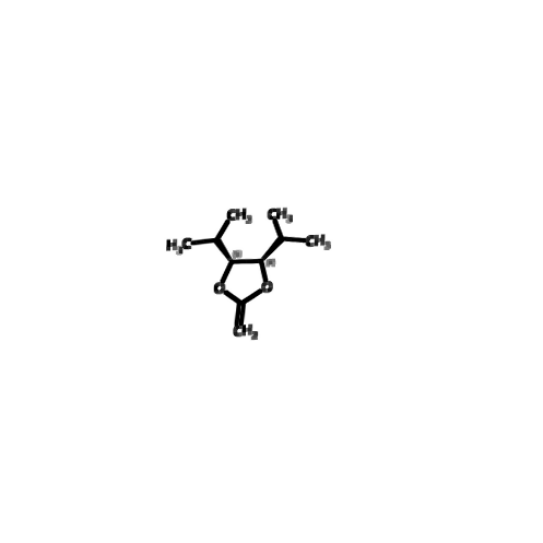 C=C1O[C@H](C(C)C)[C@H](C(C)C)O1